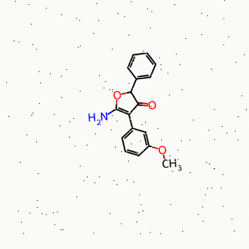 COc1cccc(C2=C(N)OC(c3ccccc3)C2=O)c1